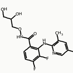 Cc1cc(I)cnc1Nc1c(C(=O)NOCC(O)CO)ccc(F)c1F